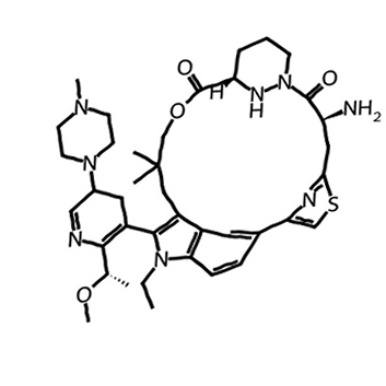 CCn1c(C2=C([C@H](C)OC)N=CC(N3CCN(C)CC3)C2)c2c3cc(ccc31)-c1csc(n1)C[C@H](N)C(=O)N1CCC[C@H](N1)C(=O)OCC(C)(C)C2